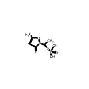 Cc1cc(=O)n(C(C)SP(O)(O)=S)o1